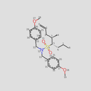 C=CC[C@@H](C)[C@H](CCC)S(=O)(=O)N(Cc1ccc(OC)cc1)Cc1ccc(OC)cc1